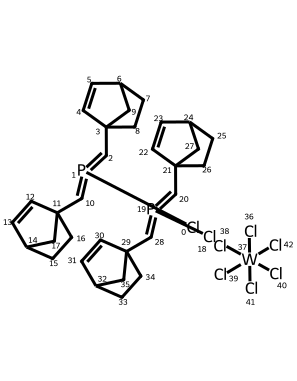 Cl/P(=C\C12C=CC(CC1)C2)=C\C12C=CC(CC1)C2.Cl/P(=C\C12C=CC(CC1)C2)=C\C12C=CC(CC1)C2.[Cl][W]([Cl])([Cl])([Cl])([Cl])[Cl]